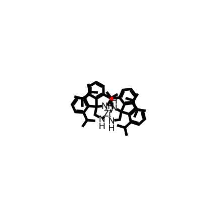 CC(C)c1cccc(C(C)C)c1C1(c2c(C(C)C)cccc2C(C)C)C[NH][Zr]2([NH]CC(c3c(C(C)C)cccc3C(C)C)(c3c(C(C)C)cccc3C(C)C)[NH]2)[NH]1